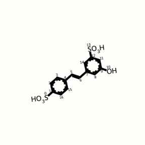 O=S(=O)(O)c1ccc(C=Cc2cc(O)cc(S(=O)(=O)O)c2)cc1